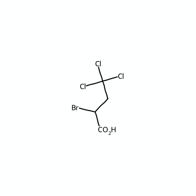 O=C(O)C(Br)CC(Cl)(Cl)Cl